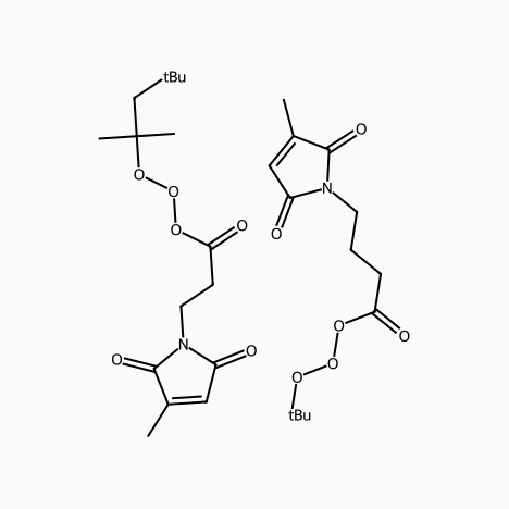 CC1=CC(=O)N(CCC(=O)OOOC(C)(C)CC(C)(C)C)C1=O.CC1=CC(=O)N(CCCC(=O)OOOC(C)(C)C)C1=O